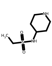 CCS(=O)(=O)NC1CCNCC1